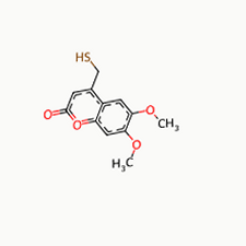 COc1cc2oc(=O)cc(CS)c2cc1OC